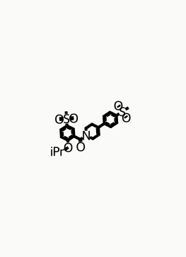 CC(C)Oc1ccc(S(C)(=O)=O)cc1C(=O)N1CC=C(c2ccc(S(C)(=O)=O)cc2)CC1